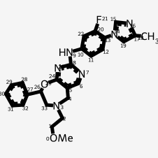 COCCN1Cc2cnc(Nc3ccc(-n4cnc(C)c4)c(F)c3)nc2OC(c2ccccc2)C1